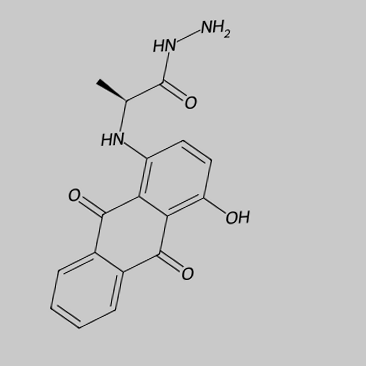 C[C@H](Nc1ccc(O)c2c1C(=O)c1ccccc1C2=O)C(=O)NN